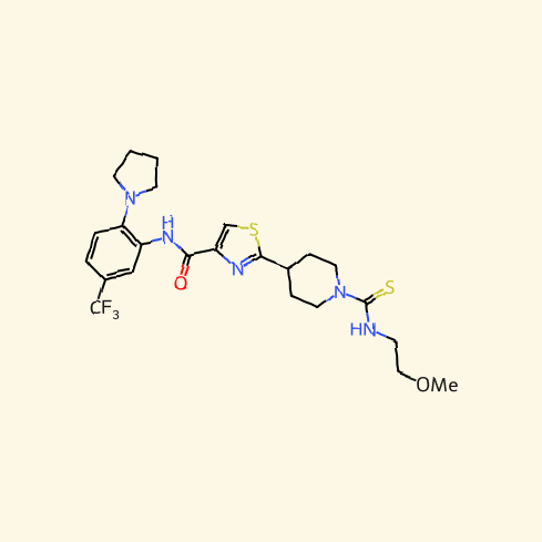 COCCNC(=S)N1CCC(c2nc(C(=O)Nc3cc(C(F)(F)F)ccc3N3CCCC3)cs2)CC1